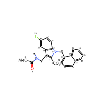 COC(=O)N(C)Cc1c(C(=O)O)n(Cc2cccc3ccccc23)c2ccc(F)cc12